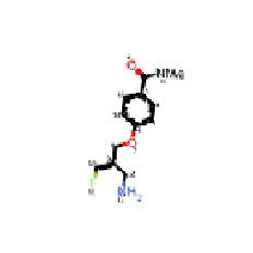 CNC(=O)c1ccc(OCC(=CF)CN)cc1